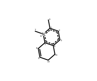 Cc1ccc2c([n+]1C)C=CCC2